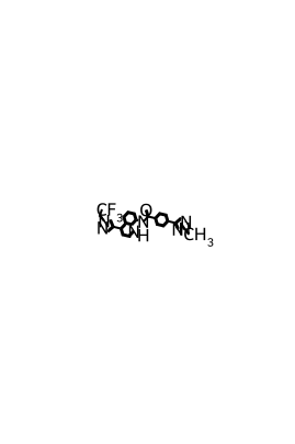 Cn1ncc(-c2ccc(C(=O)Nc3cccc4c(-c5cnn(CC(F)(F)F)c5)ccnc34)cc2)n1